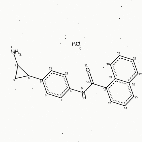 Cl.NC1CC1c1ccc(NC(=O)c2cccc3ccccc23)cc1